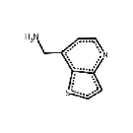 NCc1ccnc2ccsc12